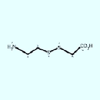 NCCSS[CH]C(=O)O